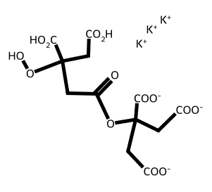 O=C([O-])CC(CC(=O)[O-])(OC(=O)CC(CC(=O)O)(OO)C(=O)O)C(=O)[O-].[K+].[K+].[K+]